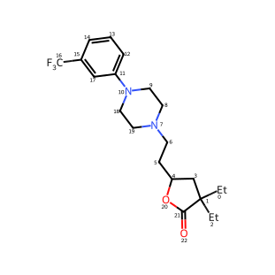 CCC1(CC)CC(CCN2CCN(c3cccc(C(F)(F)F)c3)CC2)OC1=O